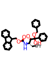 CC(C)C[C@H](NC(=O)OCC1c2ccccc2-c2ccccc21)C(=O)C(O)(OCc1ccccc1)c1ccccc1